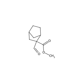 COC(=O)C1(C=O)CC2CCC1C2